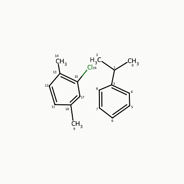 CC(C)c1ccccc1.Cc1ccc(C)c(Cl)c1